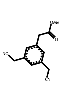 COC(=O)Cc1cc(CC#N)cc(CC#N)c1